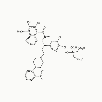 CCc1c(C#N)c(OC)c2ccccc2c1C(=O)N(C)C[C@@H](CCN1CCC(c2ccccc2[S+](C)[O-])CC1)c1ccc(Cl)c(Cl)c1.O=C(O)CC(O)(CC(=O)O)C(=O)O